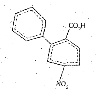 O=C(O)c1ccc([N+](=O)[O-])cc1-c1ccccc1